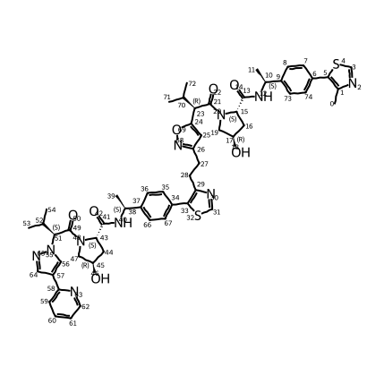 Cc1ncsc1-c1ccc([C@H](C)NC(=O)[C@@H]2C[C@@H](O)CN2C(=O)[C@@H](c2cc(CCc3ncsc3-c3ccc([C@H](C)NC(=O)[C@@H]4C[C@@H](O)CN4C(=O)[C@H](C(C)C)n4cc(-c5ccccn5)cn4)cc3)no2)C(C)C)cc1